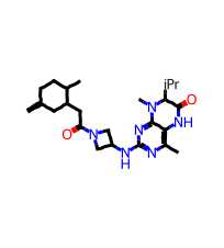 C=C1CCC(C)C(CC(=O)N2CC(Nc3nc(C)c4c(n3)N(C)C(C(C)C)C(=O)N4)C2)C1